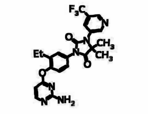 CCc1cc(N2C(=O)N(c3cncc(C(F)(F)F)c3)C(C)(C)C2=O)ccc1Oc1ccnc(N)n1